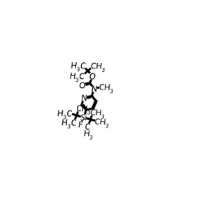 CN(C(=O)OC(C)(C)C)c1ccc([Si](F)(C(C)(C)C)C(C)(C)C)cn1